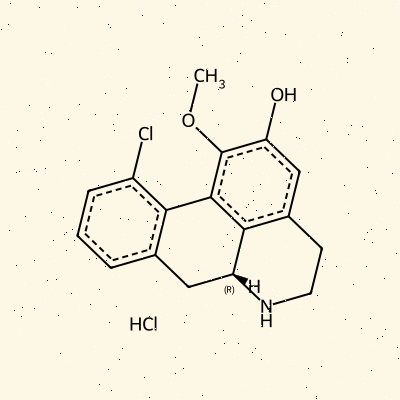 COc1c(O)cc2c3c1-c1c(Cl)cccc1C[C@H]3NCC2.Cl